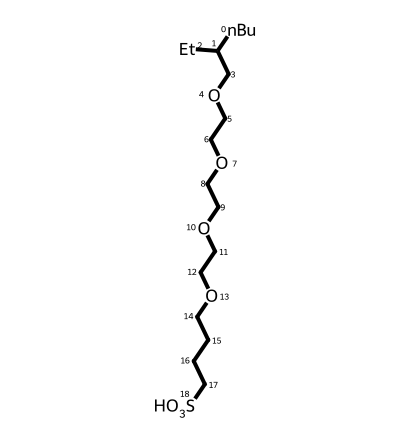 CCCCC(CC)COCCOCCOCCOCCCCS(=O)(=O)O